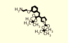 CC(C)(C)OC(=O)C(Cc1cccc(OCCN)c1)C1CCN(C(=O)OC(C)(C)C)C1